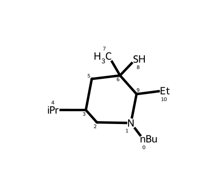 CCCCN1CC(C(C)C)CC(C)(S)C1CC